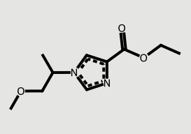 CCOC(=O)c1cn(C(C)COC)cn1